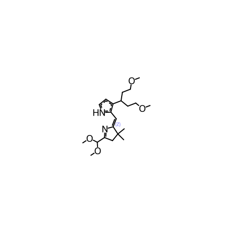 COCCC(CCOC)c1cc[nH]c1/C=C1\N=C(C(OC)OC)CC1(C)C